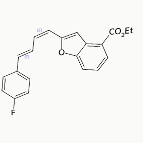 CCOC(=O)c1cccc2oc(/C=C\C=C\c3ccc(F)cc3)cc12